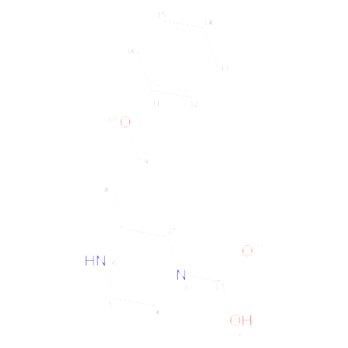 O=C(O)N1CCN[C@H](CCOc2ccccc2)C1